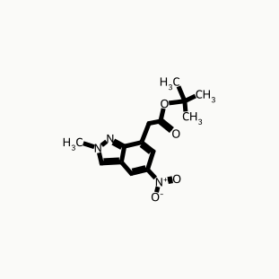 Cn1cc2cc([N+](=O)[O-])cc(CC(=O)OC(C)(C)C)c2n1